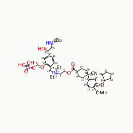 CC[N+](CC)(CCOC(=O)C1CCC(C#N)(c2ccc(OC)c(OC3CCCC3)c2)CC1)Cc1ccc(C(O)CNC(C)(C)C)cc1OCOP(=O)(O)O